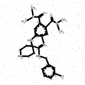 CN(C)C(=O)c1cc2c(cc1C(=O)N(C)C)NC1(CCNCC1)C(NCc1cccc(Cl)c1)=N2